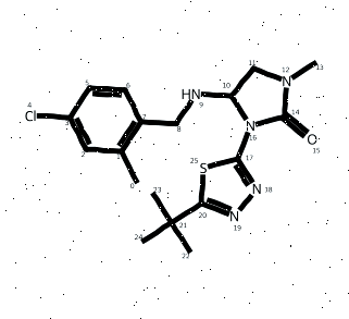 Cc1cc(Cl)ccc1CNC1CN(C)C(=O)N1c1nnc(C(C)(C)C)s1